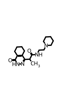 CC(C(=O)NCCN1CCCCC1)c1n[nH]c(=O)c2c1CCCC2